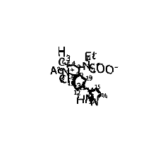 CCN(C(=O)[O-])C1C[C@H](C)[N@+](C)(C(C)=O)c2ccc(-c3ccn[nH]3)cc21